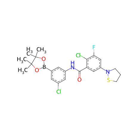 CC1(C)OB(c2cc(Cl)cc(NC(=O)c3cc(N4CCCS4)cc(F)c3Cl)c2)OC1(C)C